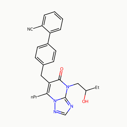 CCCc1c(Cc2ccc(-c3ccccc3C#N)cc2)c(=O)n(CC(O)CC)c2ncnn12